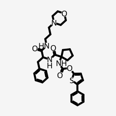 O=C(NC1(C(=O)NC(Cc2ccccc2)C(=O)NCCCN2CCOCC2)CCCC1)Oc1ccc(-c2ccccc2)s1